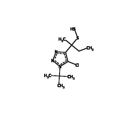 CCC(C)(SS)c1nnn(C(C)(C)C)c1Cl